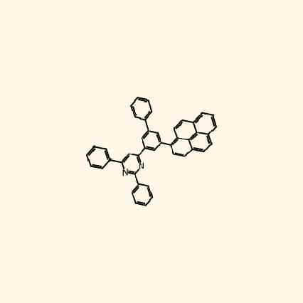 c1ccc(-c2cc(-c3cc(-c4ccccc4)nc(-c4ccccc4)n3)cc(-c3ccc4ccc5cccc6ccc3c4c56)c2)cc1